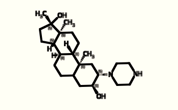 C[C@]12C[C@H](N3CCNCC3)[C@@H](O)CC1CC[C@@H]1[C@@H]2CC[C@@]2(C)[C@H]1CC[C@]2(C)O